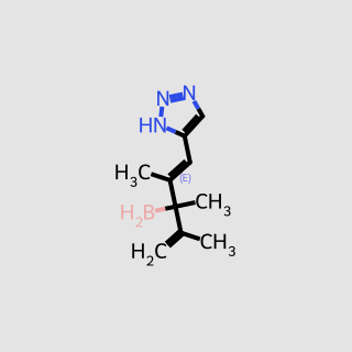 BC(C)(C(=C)C)/C(C)=C/c1cnn[nH]1